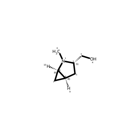 CN1[C@H](CO)C[C@H]2C[C@H]21